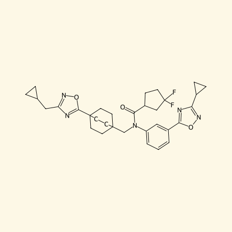 O=C(C1CCC(F)(F)C1)N(CC12CCC(c3nc(CC4CC4)no3)(CC1)CC2)c1cccc(-c2nc(C3CC3)no2)c1